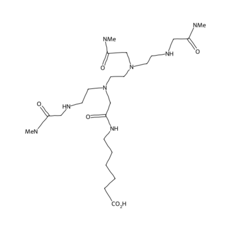 CNC(=O)CNCCN(CCN(CCNCC(=O)NC)CC(=O)NCCCCCC(=O)O)CC(=O)NC